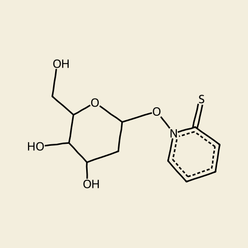 OCC1OC(On2ccccc2=S)CC(O)C1O